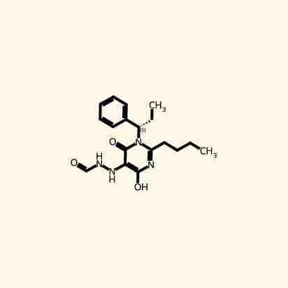 CCCCc1nc(O)c(NNC=O)c(=O)n1[C@@H](CC)c1ccccc1